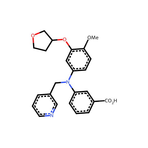 COc1ccc(N(Cc2cccnc2)c2cccc(C(=O)O)c2)cc1OC1CCOC1